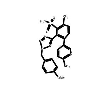 COc1ccc(Cn2nnc(-c3c(-c4ccc(N)nc4)ccc(C(F)(F)F)c3S(N)(=O)=O)n2)cc1